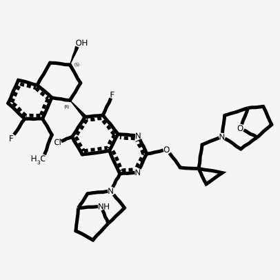 CCc1c(F)ccc2c1[C@H](c1c(Cl)cc3c(N4CC5CCC(C4)N5)nc(OCC4(CN5CC6CCC(C5)O6)CC4)nc3c1F)C[C@H](O)C2